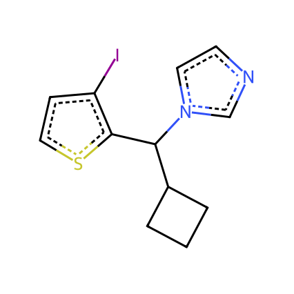 Ic1ccsc1C(C1CCC1)n1ccnc1